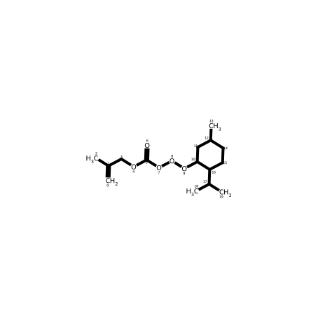 C=C(C)COC(=O)OOOC1CC(C)CCC1C(C)C